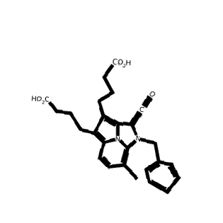 Cc1ccc2c(CCCC(=O)O)c(CCCC(=O)O)c3c(=C=O)n(Cc4ccccc4)c1n23